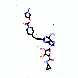 CN1CCC(OC(=O)N2CCC(CC#Cc3nc(N)c4ncn([C@@H]5O[C@H](C(=O)NC6CC6)C(O)[C@@H]5O)c4n3)CC2)C1